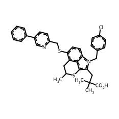 CC1Cc2c(SCc3ccc(-c4ccccc4)cn3)ccc3c2c(c(CC(C)(C)C(=O)O)n3Cc2ccc(Cl)cc2)S1